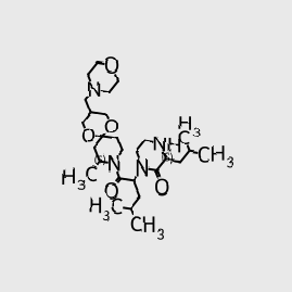 CC(C)CC(C(=O)N1CCC2(C[C@@H]1C)OCC(CN1CCOCC1)CO2)N1CCN[C@@H](CC(C)C)C1=O